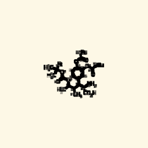 CCC(C)(C)OC(=O)OC(C)C(C)C(c1ccc(OC(=O)C(C)(C)C)c(OC(=O)C(C)(C)C)c1)[C@H](N)C(=O)O